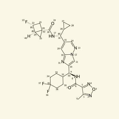 Cc1nonc1C(=O)N[C@H](c1cn2ncc([C@H](NC(=O)[C@@]34C[C@@H](F)[C@@H]3C4)C3CC3)cc2n1)C1CCC(F)(F)CC1